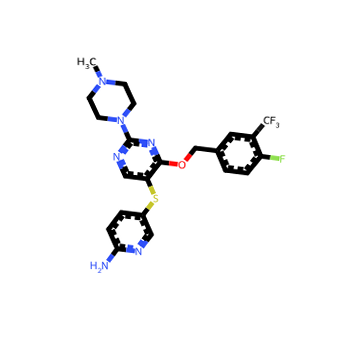 CN1CCN(c2ncc(Sc3ccc(N)nc3)c(OCc3ccc(F)c(C(F)(F)F)c3)n2)CC1